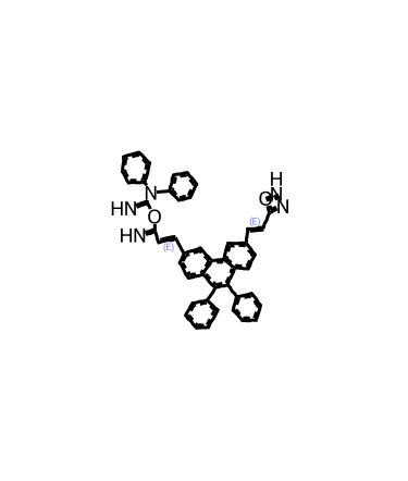 N=C(/C=C/c1ccc2c(-c3ccccc3)c(-c3ccccc3)c3ccc(/C=C/c4n[nH]o4)cc3c2c1)OC(=N)N(c1ccccc1)c1ccccc1